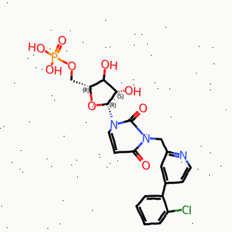 O=c1ccn([C@@H]2O[C@H](COP(=O)(O)O)C(O)[C@@H]2O)c(=O)n1Cc1cc(-c2ccccc2Cl)ccn1